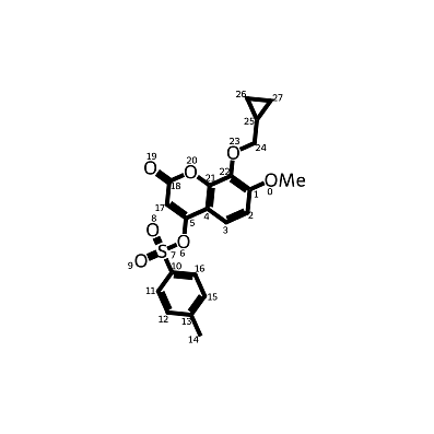 COc1ccc2c(OS(=O)(=O)c3ccc(C)cc3)cc(=O)oc2c1OCC1CC1